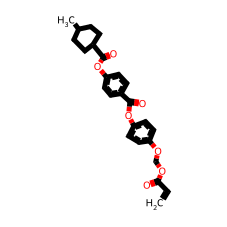 C=CC(=O)OCOc1ccc(OC(=O)c2ccc(OC(=O)C3CCC(C)CC3)cc2)cc1